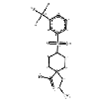 CCCC1(C(=O)O)CCC(S(=O)(=O)c2cccc(C(F)(F)F)c2)CC1